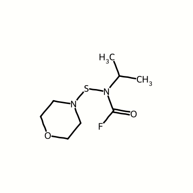 CC(C)N(SN1CCOCC1)C(=O)F